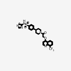 O=C(COc1ccnc2c(C(F)(F)F)cccc12)N1CCC(c2ccc(S(=O)(=O)Nc3ncns3)cc2)CC1